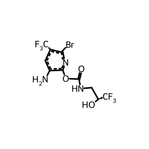 Nc1cc(C(F)(F)F)c(Br)nc1OC(=O)NC[C@H](O)C(F)(F)F